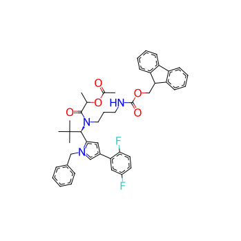 CC(=O)OC(C)C(=O)N(CCCNC(=O)OCC1c2ccccc2-c2ccccc21)[C@@H](c1cc(-c2cc(F)ccc2F)cn1Cc1ccccc1)C(C)(C)C